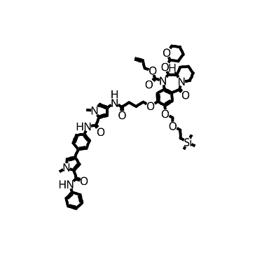 C=CCOC(=O)N1c2cc(OCCCC(=O)Nc3cc(C(=O)Nc4ccc(-c5cc(C(=O)Nc6ccccc6)n(C)c5)cc4)n(C)c3)c(OCOCC[Si](C)(C)C)cc2C(=O)N2CCCC[C@H]2C1OC1CCCCO1